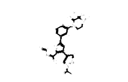 CC(=O)N1CCN(c2cccc(-c3cc(-c4cnn(C(F)F)c4)c(/C(N)=N\C=N)[nH]3)c2)C(=O)C1(C)C